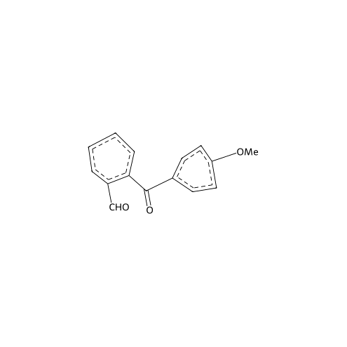 COc1ccc(C(=O)c2ccccc2C=O)cc1